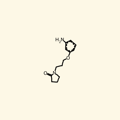 Nc1cccc(OCCCN2CCCC2=O)c1